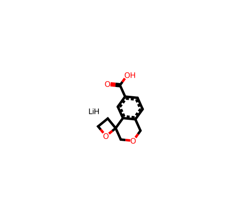 O=C(O)c1ccc2c(c1)C1(CCO1)COC2.[LiH]